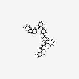 C1=Cc2c(c3cc(-c4ccc5c6ccccc6n(-c6ccc7oc8ccccc8c7c6)c5c4)ccc3n2C2C=CC(c3ccccc3)=CC2)CC1